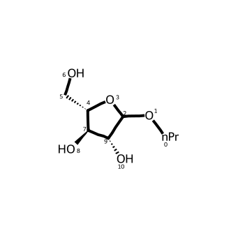 CCCOC1O[C@@H](CO)[C@H](O)[C@H]1O